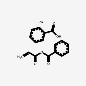 C=CC(=O)OC(=O)c1ccccc1.O=C(O)c1ccccc1.[Zn]